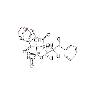 [C-]#[N+][C@@]1(O)O[C@](Cl)(C(O)(Cl)C(=O)c2ccccc2)[C@](O)(C(=O)c2ccccc2)[C@]1(O)C(=O)c1ccccc1